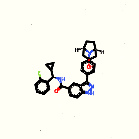 O=C(N[C@@H](c1ccccc1F)C1CC1)c1ccc2[nH]nc(-c3ccc(N4[C@@H]5CC[C@H]4C[C@H](O)C5)cc3)c2c1